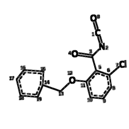 O=C=NC(=O)c1c(Cl)cccc1OCc1ccccc1